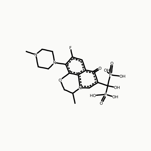 CC1COc2c(N3CCN(C)CC3)c(F)cc3c(=O)c(C(O)(P(=O)(O)O)P(=O)(O)O)cn1c23